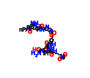 CCCN(CCC)C(=O)C1=Cc2ccc(C(=O)Nc3cnc4c(c3)CN(C(=O)OCc3ccc(NC(=O)[C@H](CCCNC(N)O)NC(=O)[C@@H](NC(=O)CCCCCN5C(=O)C=CC5=O)C(C)C)cc3)CC4)cc2N=C(N)C1